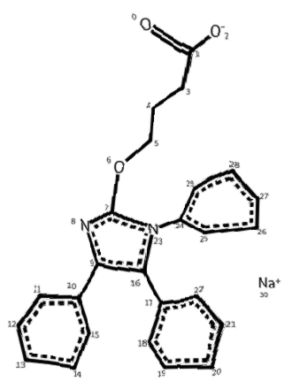 O=C([O-])CCCOc1nc(-c2ccccc2)c(-c2ccccc2)n1-c1ccccc1.[Na+]